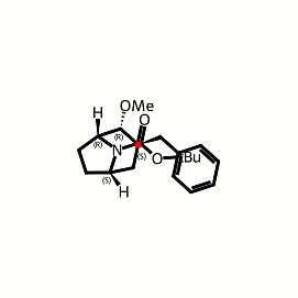 CO[C@@H]1[C@@H](Cc2ccccc2)C[C@@H]2CC[C@H]1N2C(=O)OC(C)(C)C